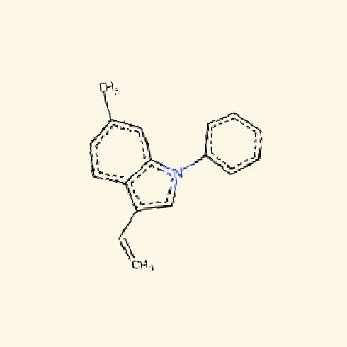 C=Cc1cn(-c2ccccc2)c2cc(C)ccc12